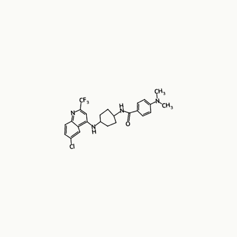 CN(C)c1ccc(C(=O)NC2CCC(Nc3cc(C(F)(F)F)nc4ccc(Cl)cc34)CC2)cc1